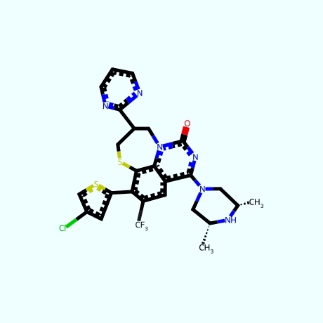 C[C@@H]1CN(c2nc(=O)n3c4c(c(-c5cc(Cl)cs5)c(C(F)(F)F)cc24)SCC(c2ncccn2)C3)C[C@H](C)N1